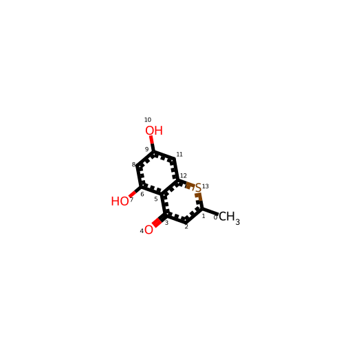 Cc1cc(=O)c2c(O)cc(O)cc2s1